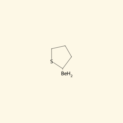 [BeH2].[CH]1CCCS1